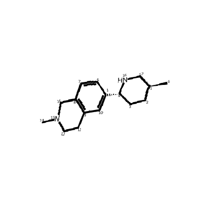 C[C@H]1CC[C@H](c2ccc3c(c2)CCN(C)C3)NC1